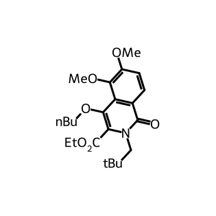 CCCCOc1c(C(=O)OCC)n(CC(C)(C)C)c(=O)c2ccc(OC)c(OC)c12